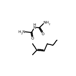 CCCC=C(C)C.NC(=O)NC(N)=O